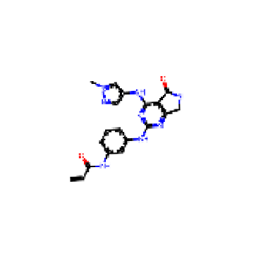 C=CC(=O)Nc1cccc(Nc2nc3c(c(Nc4cnn(C)c4)n2)C(=O)NC3)c1